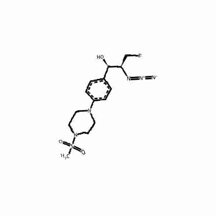 CS(=O)(=O)N1CCN(c2ccc([C@@H](O)[C@@H](CF)N=[N+]=[N-])cc2)CC1